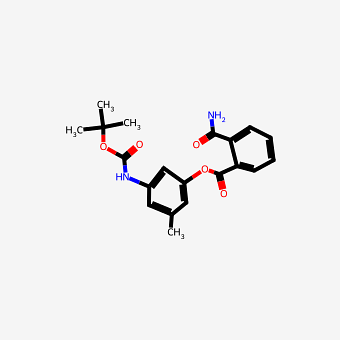 Cc1cc(NC(=O)OC(C)(C)C)cc(OC(=O)c2ccccc2C(N)=O)c1